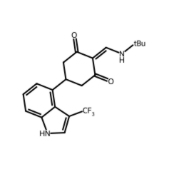 CC(C)(C)NC=C1C(=O)CC(c2cccc3[nH]cc(C(F)(F)F)c23)CC1=O